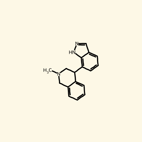 CN1Cc2ccccc2C(c2cccc3cn[nH]c23)C1